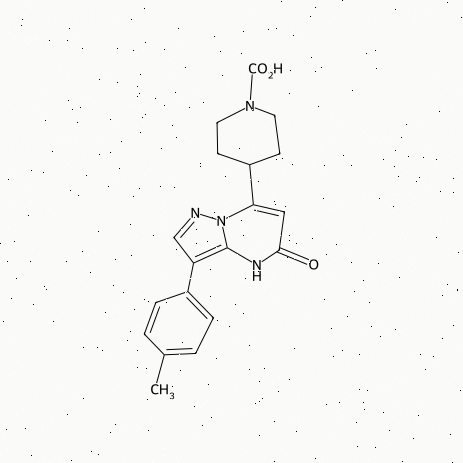 Cc1ccc(-c2cnn3c(C4CCN(C(=O)O)CC4)cc(=O)[nH]c23)cc1